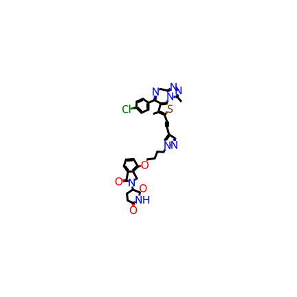 Cc1c(C#Cc2cnn(CCCCOc3cccc4c3CN(C3CCC(=O)NC3=O)C4=O)c2)sc2c1C(c1ccc(Cl)cc1)=NCc1nnc(C)n1-2